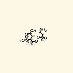 NCCS(=O)(=O)O.O=C(O)CC(C(=O)O)S(=O)(=O)O